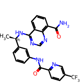 C[C@@H](Nc1ncnc2c(C(N)=O)cccc12)c1cccc(NC(=O)c2ccc(C(F)(F)F)cn2)c1